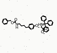 COC(=O)[C@H](COc1ccc(CCCCNC(=O)OCc2ccccc2)cc1)NC(c1ccccc1)(c1ccccc1)c1ccccc1